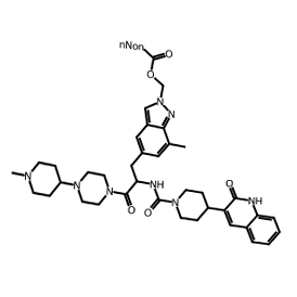 CCCCCCCCCC(=O)OCn1cc2cc(CC(NC(=O)N3CCC(c4cc5ccccc5[nH]c4=O)CC3)C(=O)N3CCN(C4CCN(C)CC4)CC3)cc(C)c2n1